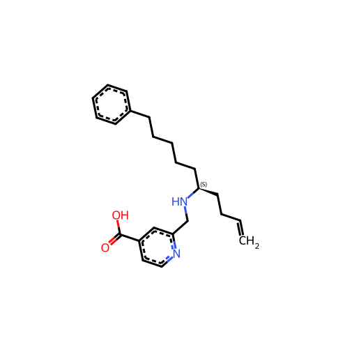 C=CCC[C@H](CCCCCc1ccccc1)NCc1cc(C(=O)O)ccn1